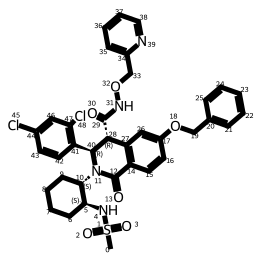 CS(=O)(=O)N[C@H]1CCCC[C@@H]1N1C(=O)c2ccc(OCc3ccccc3)cc2[C@@H](C(=O)NOCc2ccccn2)[C@@H]1c1ccc(Cl)cc1Cl